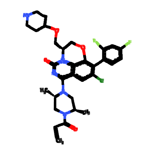 C=CC(=O)N1C[C@H](C)N(c2nc(=O)n3c4c(c(-c5ccc(F)cc5F)c(Cl)cc24)OC[C@@H]3COC2CCNCC2)C[C@H]1C